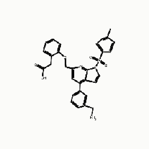 Cc1ccc(S(=O)(=O)n2ccc3c(-c4cccc(CN)c4)cc(COc4ccccc4CC(=O)O)nc32)cc1